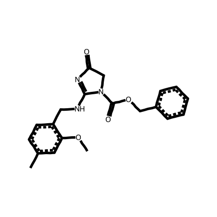 COc1cc(C)ccc1CNC1=NC(=O)CN1C(=O)OCc1ccccc1